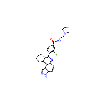 O=C(NCCN1CCCC1)c1ccc(-c2nc3ccc4[nH]ncc4c3c3c2CCCC3)c(F)c1